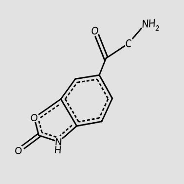 NCC(=O)c1ccc2[nH]c(=O)oc2c1